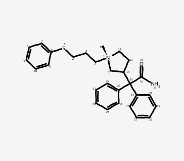 C[N@@+]1(CCCSc2ccccc2)CCC(C(C(N)=O)(c2ccccc2)c2ccccc2)C1